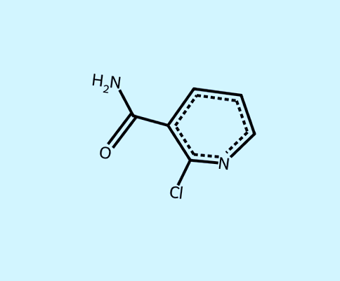 NC(=O)c1cccnc1Cl